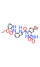 CCCOc1ccccc1C(=O)Nc1cccc2cc(C(=O)Nc3ccc(Br)cc3-c3noc(=O)[nH]3)[nH]c12